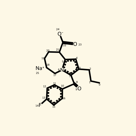 CCCc1cc2n(c1C(=O)c1ccc(F)cc1)CCCCC2C(=O)[O-].[Na+]